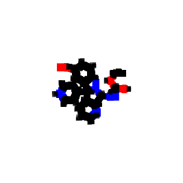 CC(C)(C)OC(=O)NC1NC(c2ccncc2)(c2cccc(O)c2)c2cccnc21